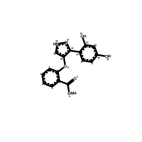 COC(=O)c1ccccc1Oc1c[nH]nc1-c1ccc(O)cc1O